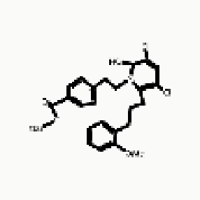 COc1ccccc1CCCC1=C(Cl)C=C(Cl)C(O)N1CCc1ccc(C(=O)OC(C)(C)C)cc1